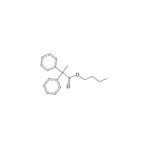 CCCCOC(=O)C(C)(c1ccccc1)c1ccccc1